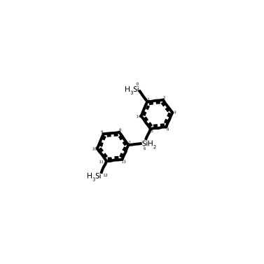 [SiH3]c1cccc([SiH2]c2cccc([SiH3])c2)c1